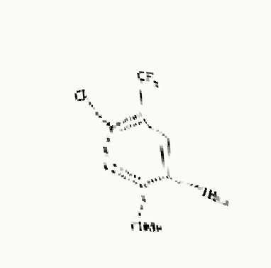 COc1cc(Cl)c(C(F)(F)F)cc1C(C)(C)C